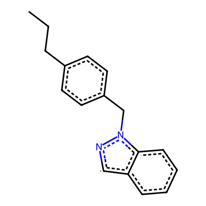 CCCc1ccc(Cn2n[c]c3ccccc32)cc1